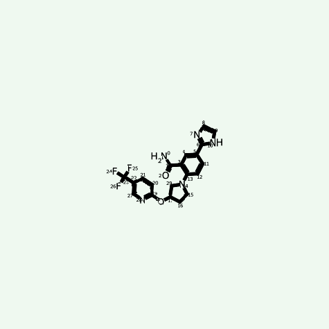 NC(=O)c1cc(-c2ncc[nH]2)ccc1N1CCC(Oc2ccc(C(F)(F)F)cn2)C1